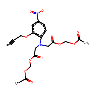 C#CCOc1cc([N+](=O)[O-])ccc1N(CC(=O)OCOC(C)=O)CC(=O)OCOC(C)=O